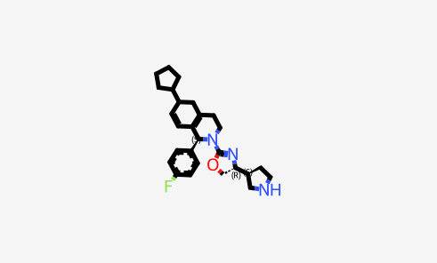 Fc1ccc([C@H]2C3=C(CCN2C2=N[C@H]([C@H]4CCNC4)CO2)CC(C2CCCC2)C=C3)cc1